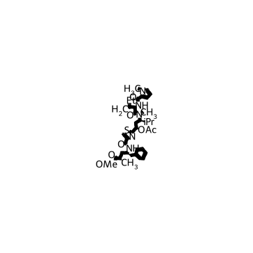 C=C(CC)[C@H](NC(=O)c1cccn1C)C(=O)N(C)[C@H](C[C@@H](OC(C)=O)c1nc(C(=O)N[C@@H](Cc2ccccc2)C[C@H](C)C(=O)OC)cs1)C(C)C